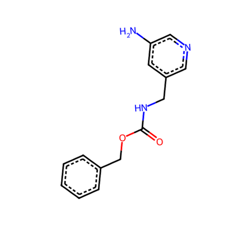 Nc1cncc(CNC(=O)OCc2ccccc2)c1